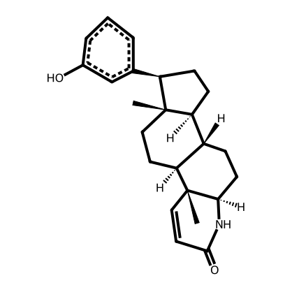 C[C@]12C=CC(=O)N[C@@H]1CC[C@@H]1[C@@H]2CC[C@]2(C)[C@@H](c3cccc(O)c3)CC[C@@H]12